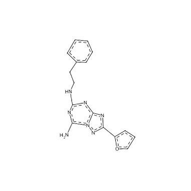 Nc1nc(NCCc2ccccc2)nc2nc(-c3ccco3)nn12